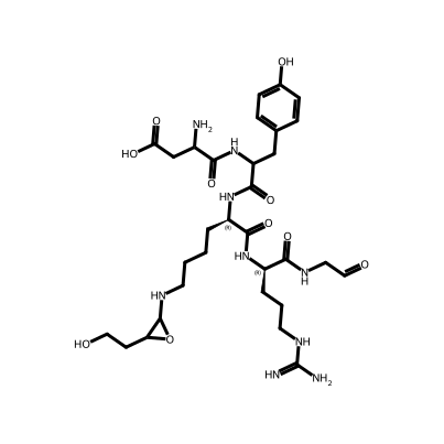 N=C(N)NCCC[C@@H](NC(=O)[C@@H](CCCCNC1OC1CCO)NC(=O)C(Cc1ccc(O)cc1)NC(=O)C(N)CC(=O)O)C(=O)NCC=O